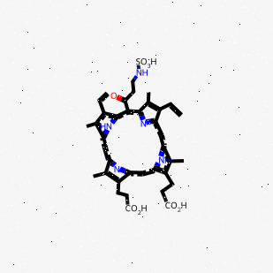 C=CC1=C(C)c2nc1cc1[nH]c(cc3nc(cc4[nH]c(c(C=C)c4C)c2C(=O)CCNS(=O)(=O)O)C(C)=C3CCC(=O)O)c(CCC(=O)O)c1C